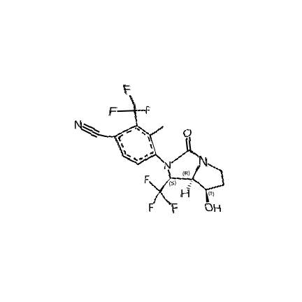 Cc1c(N2C(=O)N3CC[C@@H](O)[C@H]3[C@H]2C(F)(F)F)ccc(C#N)c1C(F)(F)F